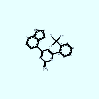 C=C1C=C(c2ccnc3[nH]ccc23)C=C(c2ccccc2C(F)(F)F)N1